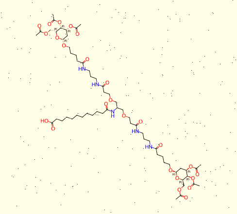 CC(=O)OC[C@H]1O[C@@H](OCCCCC(=O)NCCCNC(=O)CCOCC(COCCC(=O)NCCCNC(=O)CCCCO[C@H]2C[C@@H](OC(C)=O)[C@@H](OC(C)=O)[C@@H](COC(C)=O)O2)NC(=O)CCCCCCCCCCC(=O)O)C[C@@H](OC(C)=O)[C@H]1OC(C)=O